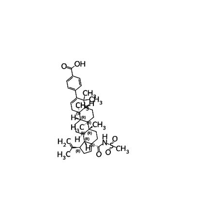 C=C(C)[C@@H]1CC[C@]2(C(=O)NS(C)(=O)=O)CC[C@]3(C)[C@H](CC[C@@H]4[C@@]5(C)CC=C(c6ccc(C(=O)O)cc6)C(C)(C)[C@@H]5CC[C@]43C)[C@@H]12